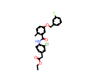 CCOC(=O)Cc1ccc(NC(=O)c2cc(OCc3cccc(F)c3)ccc2C)c(Cl)c1